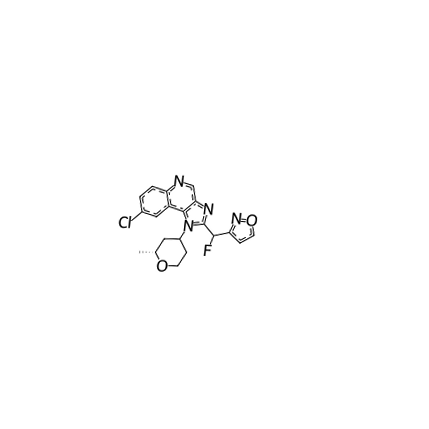 C[C@@H]1CC(n2c(C(F)c3ccon3)nc3cnc4ccc(Cl)cc4c32)CCO1